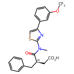 CN(C(=O)[C@@H](CC(=O)O)Cc1ccccc1)c1nc(-c2cccc(OC(F)(F)F)c2)cs1